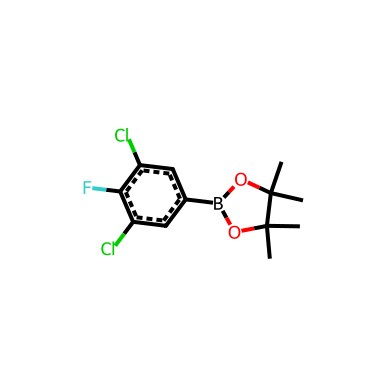 CC1(C)OB(c2cc(Cl)c(F)c(Cl)c2)OC1(C)C